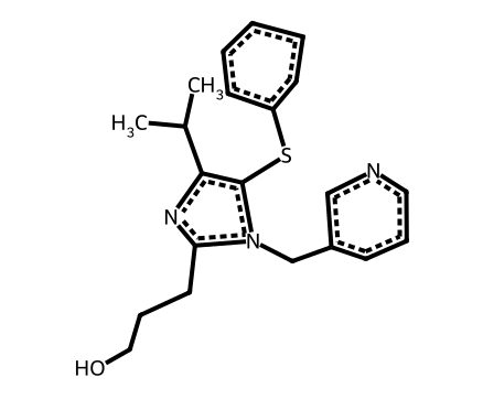 CC(C)c1nc(CCCO)n(Cc2cccnc2)c1Sc1ccccc1